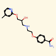 Cc1ccnc(OCC(O)CNCCOc2ccc(C(N)=O)cc2)c1